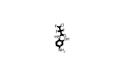 Nc1ccc(NC(=O)C(F)(F)C(F)Cl)c(O)c1